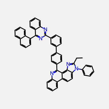 CCc1nc2c3c(-c4ccc(-c5cccc(-c6nc(-c7cccc8ccccc78)c7ccccc7n6)c5)cc4)nc4ccccc4c3ccc2n1-c1ccccc1